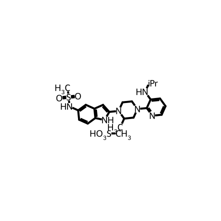 CC(C)Nc1cccnc1N1CCN(c2cc3cc(NS(C)(=O)=O)ccc3[nH]2)C(C)C1.CS(=O)(=O)O